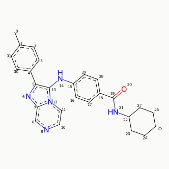 Cc1ccc(-c2nc3cnccn3c2Nc2ccc(C(=O)NC3CCCCC3)cc2)cc1